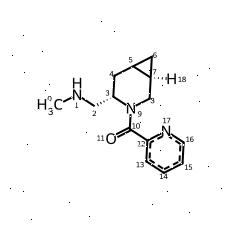 CNC[C@@H]1CC2C[C@H]2CN1C(=O)c1ccccn1